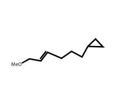 COCC=CCCCC1[CH]C1